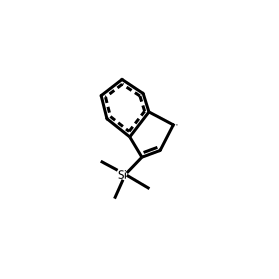 C[Si](C)(C)C1=C[CH]c2ccccc21